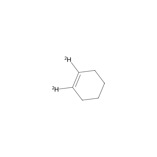 [2H]C1=C([2H])CCCC1